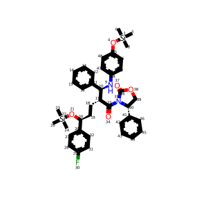 C[Si](C)(C)Oc1ccc(N[C@H](c2ccccc2)[C@@H](CC[C@H](O[Si](C)(C)C)c2ccc(F)cc2)C(=O)N2C(=O)OC[C@@H]2c2ccccc2)cc1